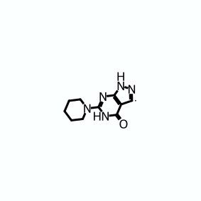 O=c1[nH]c(N2CCCCC2)nc2[nH]n[c]c12